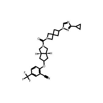 N#Cc1cc(C(F)(F)F)ccc1OC1C[C@@H]2CN(C(=O)N3CC4(CC(n5cnc(C6CC6)n5)C4)C3)C[C@@H]2C1